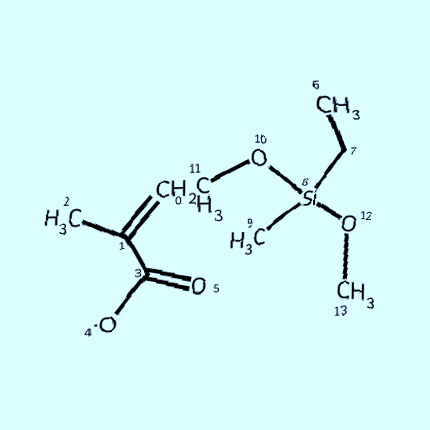 C=C(C)C([O])=O.CC[Si](C)(OC)OC